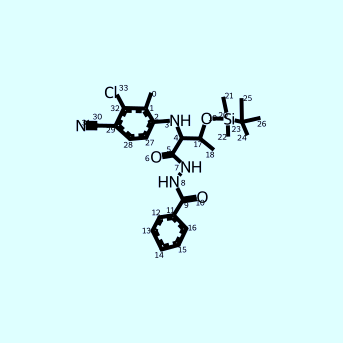 Cc1c(NC(C(=O)NNC(=O)c2ccccc2)C(C)O[Si](C)(C)C(C)(C)C)ccc(C#N)c1Cl